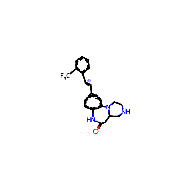 O=C1CC2CNCCN2c2cc(/C=C/c3ccccc3C(F)(F)F)ccc2N1